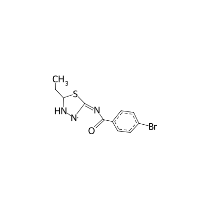 CCC1N[N]C(=NC(=O)c2ccc(Br)cc2)S1